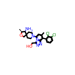 Cc1cc(N2CCC3(CC2)CO[C@@H](C)[C@H]3N)n2c(CO)nnc2c1-c1cccc(Cl)c1Cl